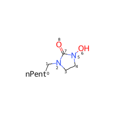 CCCCCCN1CCN(O)C1=O